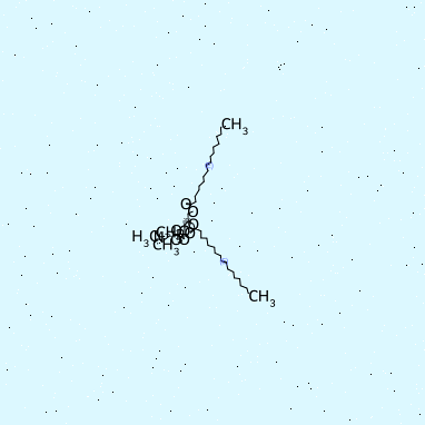 CCCCCCCC/C=C/CCCCCCCC(=O)OC[C@H](COP(=O)([O-])OCC[N+](C)(C)C)OC(=O)CCCCCCC/C=C/CCCCCCCC